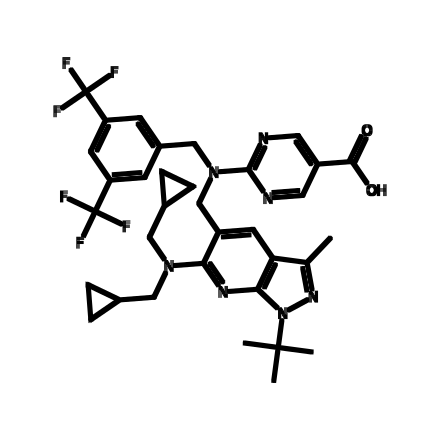 Cc1nn(C(C)(C)C)c2nc(N(CC3CC3)CC3CC3)c(CN(Cc3cc(C(F)(F)F)cc(C(F)(F)F)c3)c3ncc(C(=O)O)cn3)cc12